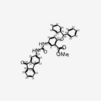 COC(=O)c1cc(NC(=O)Nc2ccc3c(c2)C(=O)c2ccccc2-3)ccc1OC(c1ccccc1)c1ccccc1